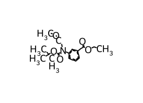 CCOC(=O)c1cccc(N(CCOC)C(=O)OC(C)(C)C)c1